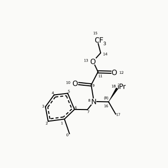 Cc1ccccc1CN(C(=O)C(=O)OCC(F)(F)F)[C@H](C)C(C)C